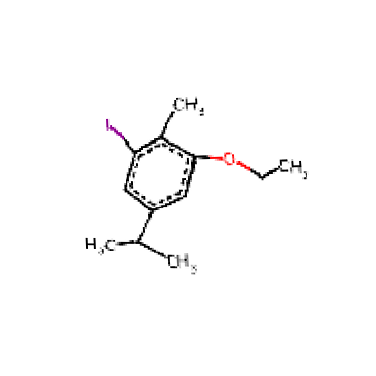 CCOc1cc(C(C)C)cc(I)c1C